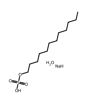 CCCCCCCCCCCCOS(=O)(=O)O.O.[NaH]